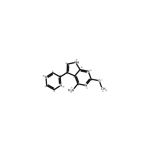 COc1nc(N)c2c(-c3cnccn3)c[nH]c2n1